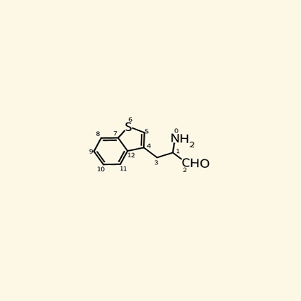 NC(C=O)Cc1csc2ccccc12